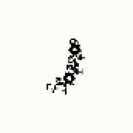 N#Cc1ccc(NC(=O)CC(=O)Nc2ccc(NC(=O)C(F)(F)F)cc2)cc1